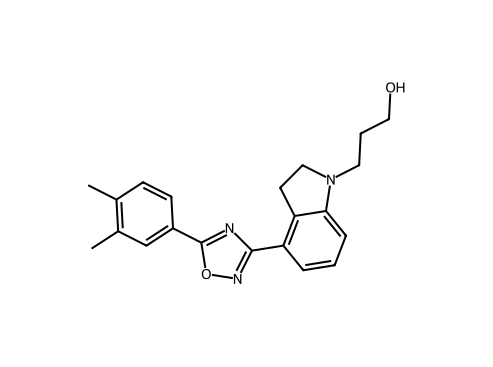 Cc1ccc(-c2nc(-c3cccc4c3CCN4CCCO)no2)cc1C